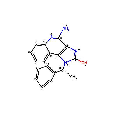 C[C@H](c1ccccc1)n1c(O)nc2c(N)nc3ccccc3c21